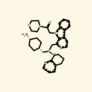 N[C@H]1CC[C@@H](CN(Cc2nccc3c4ccccc4n(CC(=O)N4CCOCC4)c23)[C@H]2CCCc3cccnc32)CC1